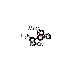 Bc1cc(-c2ccc(N3CC4CC(C3)N4Cc3ccc(OC)nc3)nc2)c2c(C#N)cnn2c1